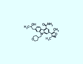 Cc1noc(C)c1-c1cc(C(N)=O)c2c3ccc(CC(C)O)cc3n(CC3CCOCC3)c2c1